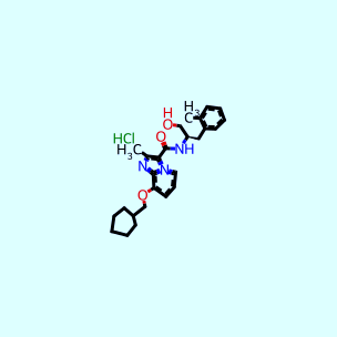 Cc1ccccc1C[C@H](CO)NC(=O)c1c(C)nc2c(OCC3CCCCC3)cccn12.Cl